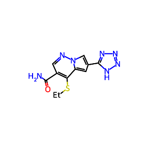 CCSc1c(C(N)=O)cnn2cc(-c3nnn[nH]3)cc12